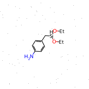 CCO[SiH](Cc1ccc(N)cc1)OCC